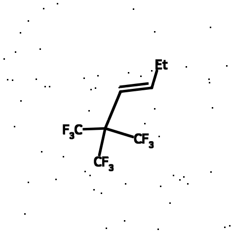 CCC=CC(C(F)(F)F)(C(F)(F)F)C(F)(F)F